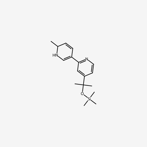 CC1C=CC(c2cc(C(C)(C)O[Si](C)(C)C)ccn2)=CN1